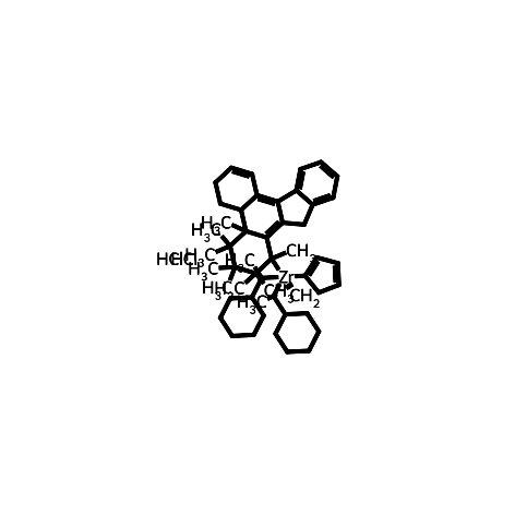 Cl.Cl.[CH2]=[Zr]([C]1=CC=CC1)([CH](C)C1CCCCC1)([CH](C)C1CCCCC1)[C]1(C)C2=C3Cc4ccccc4C3=C3C=CCCC3C2(C)C(C)(C)C(C)(C)C1(C)C